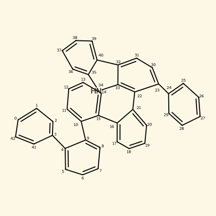 c1ccc(-c2ccccc2-c2ccccc2-c2ccccc2-c2c(-c3ccccc3)ccc3c2[nH]c2ccccc23)cc1